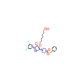 O=c1c(OCCCCCCCO)c(N2CCN(S(=O)(=O)Cc3ccccc3)CC2)cnn1-c1cc(F)cc(F)c1